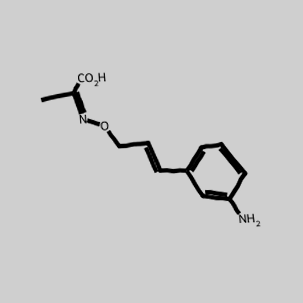 C/C(=N/OC/C=C/c1cccc(N)c1)C(=O)O